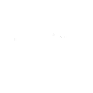 FC(F)(F)c1ccc(C2=NNC(c3cccs3)C2)cc1